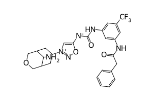 NC1C2COCC1CC([n+]1cc([N-]C(=O)Nc3cc(NC(=O)Cc4ccccc4)cc(C(F)(F)F)c3)on1)C2